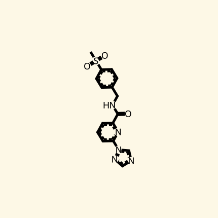 CS(=O)(=O)c1ccc(CNC(=O)c2cccc(-n3cncn3)n2)cc1